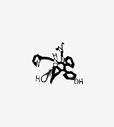 CN(C)CCn1c(C(=O)NCCc2ccccn2)c(C(c2ccc(O)cc2)c2ccc(O)cc2)c2ccccc21